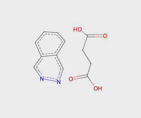 O=C(O)CCC(=O)O.c1ccc2cnncc2c1